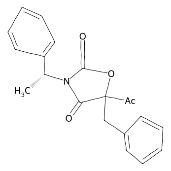 CC(=O)C1(Cc2ccccc2)OC(=O)N([C@H](C)c2ccccc2)C1=O